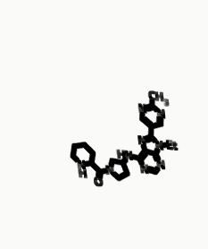 CCn1c(-c2cnc(C)nc2)nc2c(NC3CCN(C(=O)C4CCCCN4)C3)ncnc21